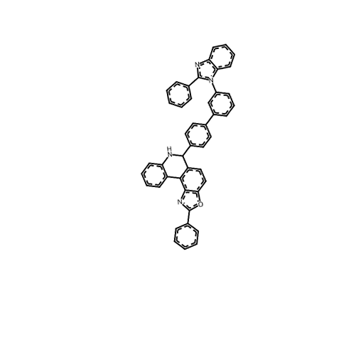 c1ccc(-c2nc3c4c(ccc3o2)C(c2ccc(-c3cccc(-n5c(-c6ccccc6)nc6ccccc65)c3)cc2)Nc2ccccc2-4)cc1